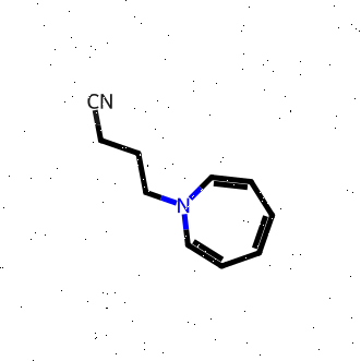 N#CCCCN1C=CC=CC=C1